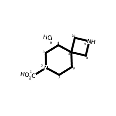 Cl.O=C(O)N1CCC2(CC1)CNC2